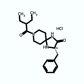 CCC(CC)C(=O)N1CCC2(CC1)NC(=O)[C@H](Cc1ccccc1)N2.Cl